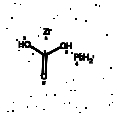 O=C(O)O.[PbH2].[Zr]